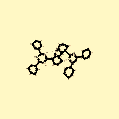 c1ccc(-c2cc(-c3ccccc3)nc(-c3cccc4oc5c(-c6nc(-c7ccccc7)nc(-c7ccccc7)n6)cccc5c34)n2)cc1